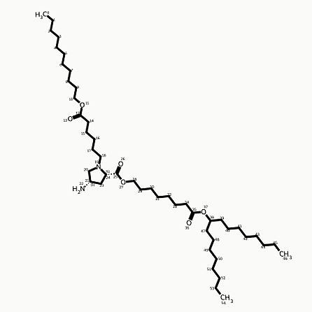 CCCCCCCCCCCOC(=O)CCCCCN1C[C@@H](N)C[C@H]1C(=O)OCCCCCCCC(=O)OC(CCCCCCCC)CCCCCCCC